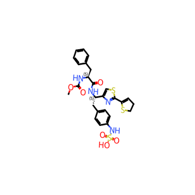 COC(=O)N[C@@H](Cc1ccccc1)C(=O)N[C@@H](Cc1ccc(NS(=O)(=O)O)cc1)c1csc(C2=CCCS2)n1